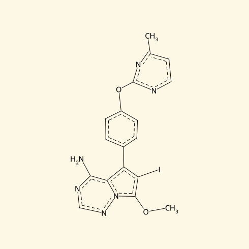 COc1c(I)c(-c2ccc(Oc3nccc(C)n3)cc2)c2c(N)ncnn12